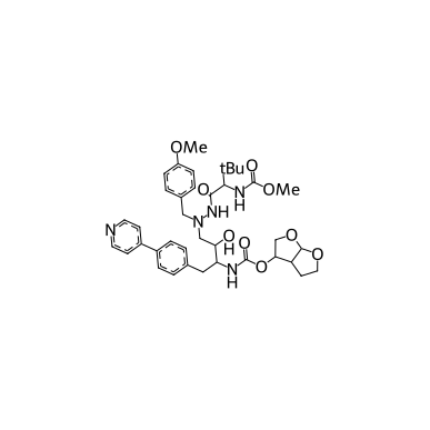 COC(=O)NC(C(=O)NN(Cc1ccc(OC)cc1)CC(O)C(Cc1ccc(-c2ccncc2)cc1)NC(=O)OC1COC2OCCC12)C(C)(C)C